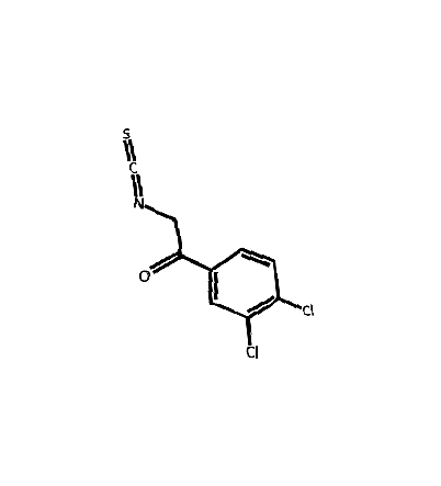 O=C(CN=C=S)c1ccc(Cl)c(Cl)c1